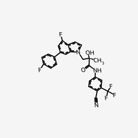 C[C@](O)(Cn1ccc2c(F)cc(-c3ccc(F)cc3)cc21)C(=O)Nc1ccc(C#N)c(C(F)(F)F)c1